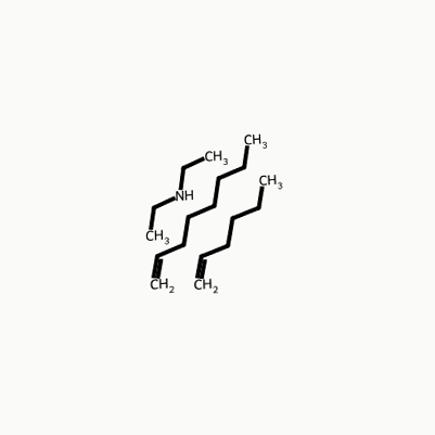 C=CCCCC.C=CCCCCCC.CCNCC